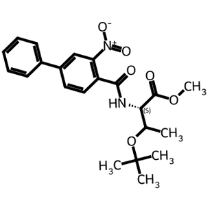 COC(=O)[C@@H](NC(=O)c1ccc(-c2ccccc2)cc1[N+](=O)[O-])C(C)OC(C)(C)C